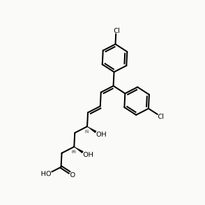 O=C(O)C[C@H](O)C[C@H](O)C=CC=C(c1ccc(Cl)cc1)c1ccc(Cl)cc1